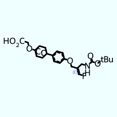 CC(C)(C)OC(=O)NC/C(=C\F)COc1ccc(C23CCC(OCC(=O)O)(CC2)CC3)cc1